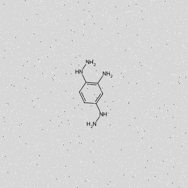 NNc1ccc(NN)c(N)c1